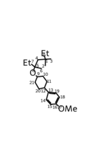 CCC(C)(C)CC(C)(CC)OC1CCC(c2ccc(OC)cc2)CC1